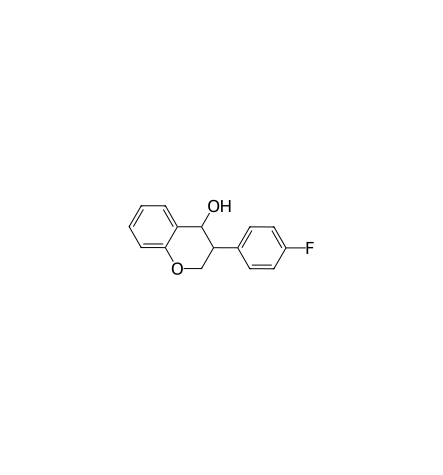 OC1c2ccccc2OCC1c1ccc(F)cc1